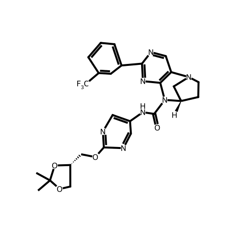 CC1(C)OC[C@@H](COc2ncc(NC(=O)N3c4nc(-c5cccc(C(F)(F)F)c5)ncc4N4CC[C@H]3C4)cn2)O1